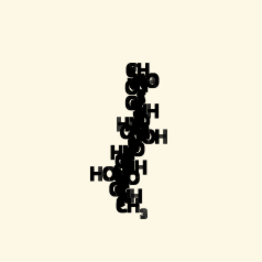 CCNC(=O)CN(CC(=O)O)C(=O)CNC(=O)CNC(=O)CN(CC(=O)O)C(=O)CNC(=O)CNC(=O)CCCN1C(=O)CC(SC)C1=O